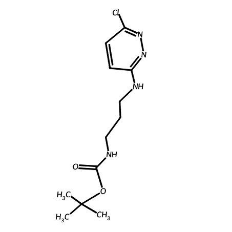 CC(C)(C)OC(=O)NCCCNc1ccc(Cl)nn1